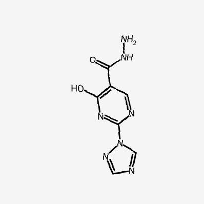 NNC(=O)c1cnc(-n2cncn2)nc1O